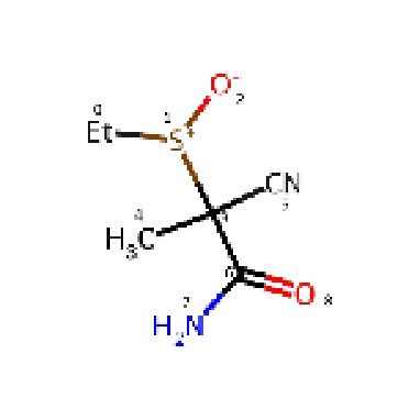 CC[S+]([O-])C(C)(C#N)C(N)=O